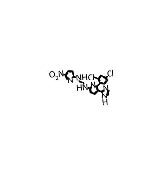 O=[N+]([O-])c1ccc(NCCNc2ccc(-c3ncc[nH]3)c(-c3ccc(Cl)cc3Cl)n2)nc1